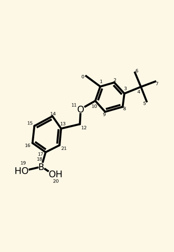 Cc1cc(C(C)(C)C)ccc1OCc1cccc(B(O)O)c1